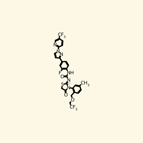 Cc1ccc(COCC(F)(F)F)c(N2C(=O)CS/C2=N\C(=O)Nc2ccc(-c3ccn(-c4ccc(C(F)(F)F)cn4)n3)cc2F)c1